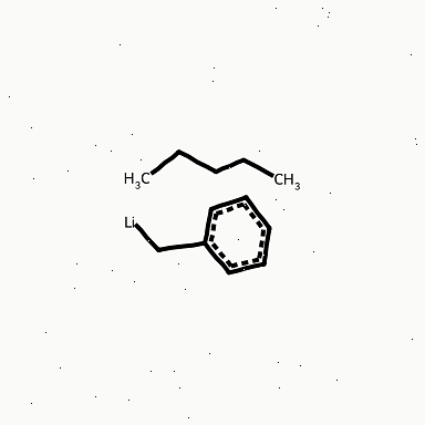 CCCCC.[Li][CH2]c1ccccc1